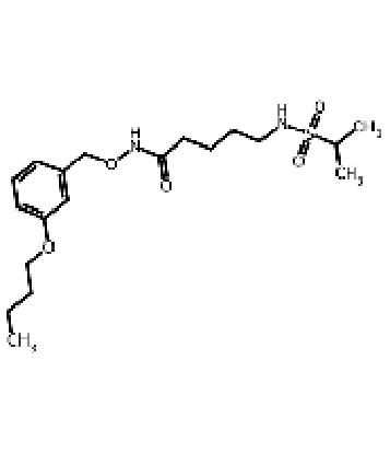 CCCCOc1cccc(CONC(=O)CCCCNS(=O)(=O)C(C)C)c1